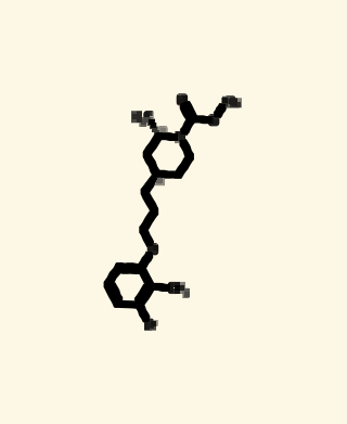 Cc1c(Br)cccc1OCCC[C@@H]1CCN(C(=O)OC(C)(C)C)[C@@H](C)C1